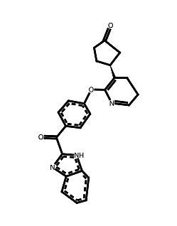 O=C1CC[C@H](C2=C(Oc3ccc(C(=O)c4nc5ccccc5[nH]4)cc3)N=CCC2)C1